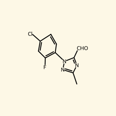 Cc1nc(C=O)n(-c2ccc(Cl)cc2F)n1